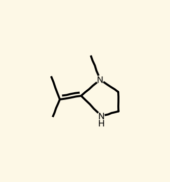 CC(C)=C1NCCN1C